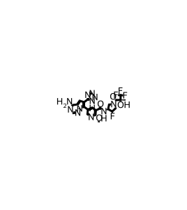 COc1ncc(-c2c(-c3nnn[nH]3)cc3c(N)ncnn23)cc1C(=O)N[C@H]1CN(C(=O)[C@@](C)(O)C(F)(F)F)C[C@@H]1F